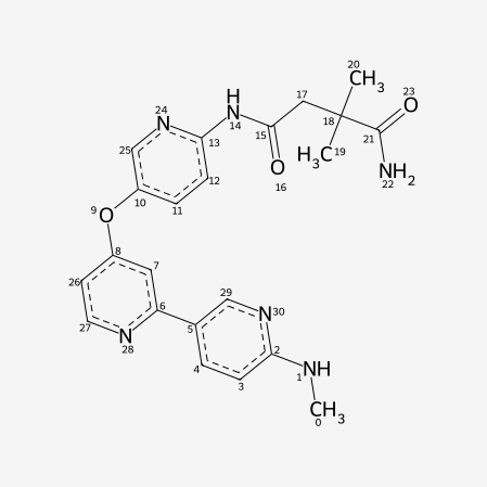 CNc1ccc(-c2cc(Oc3ccc(NC(=O)CC(C)(C)C(N)=O)nc3)ccn2)cn1